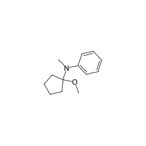 COC1(N(C)c2ccccc2)CCCC1